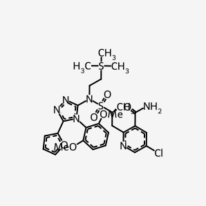 COc1cccc(OC)c1-n1c(-c2ccco2)nnc1N(CCS(C)(C)C)S(=O)(=O)[C@@H](C)Cc1ncc(Cl)cc1C(N)=O